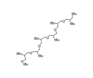 CC(C)(C)CC(COCC(COCC(COCC(COCC(COCC(COC(C)(C)C)C(C)(C)C)C(C)(C)C)C(C)(C)C)C(C)(C)C)C(C)(C)C)C(C)(C)C